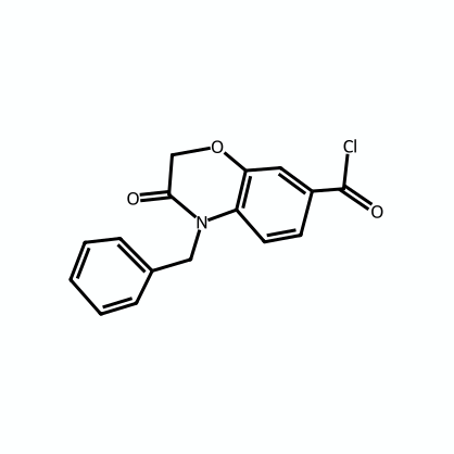 O=C(Cl)c1ccc2c(c1)OCC(=O)N2Cc1ccccc1